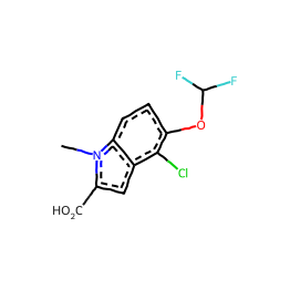 Cn1c(C(=O)O)cc2c(Cl)c(OC(F)F)ccc21